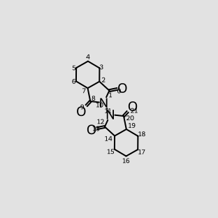 O=C1C2CCCCC2C(=O)N1N1C(=O)C2CCCCC2C1=O